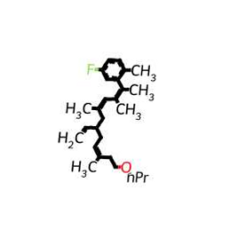 C=CC(C/C=C(/C)CCOCCC)C/C(C)=C\C(C)=C(\C)c1cc(F)ccc1C